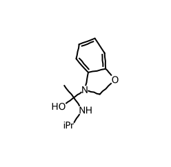 CC(C)NC(C)(O)N1COc2ccccc21